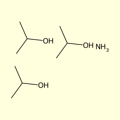 CC(C)O.CC(C)O.CC(C)O.N